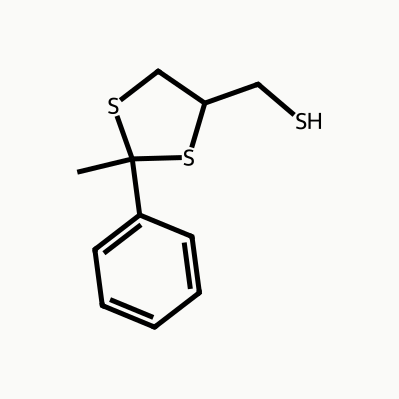 CC1(c2ccccc2)SCC(CS)S1